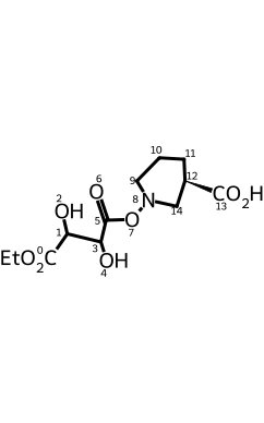 CCOC(=O)C(O)C(O)C(=O)ON1CCC[C@@H](C(=O)O)C1